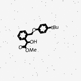 COC(=O)C(O)c1ccccc1COc1ccc(C(C)(C)C)cc1